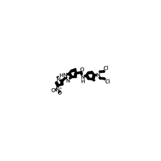 Cc1cc(NC(=O)c2ccc3[nH]c(-c4cc([N+](=O)[O-])cn4C)nc3c2)ccc1N(CCCl)CCCl